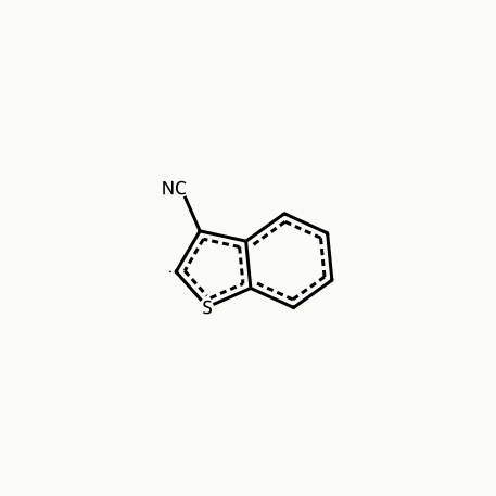 N#Cc1[c]sc2ccccc12